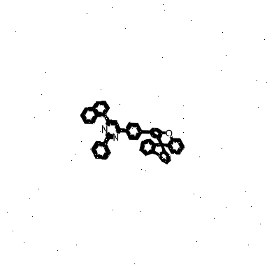 C1=CC2c3ccccc3C3(c4ccccc4Oc4ccc(-c5ccc(-c6cc(-c7cccc8ccccc78)nc(-c7ccccc7)n6)cc5)cc43)C2C=C1